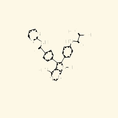 C=C(C)C(=O)Nc1ccc(-c2c(-c3ccc(C(=O)Nc4ncccn4)cc3)c3c(N)ncnc3n2C)cc1